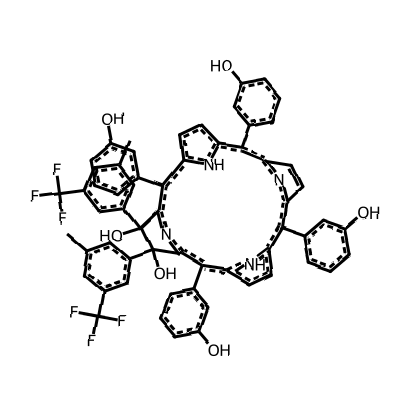 Cc1cc(C(F)(F)F)cc(C2(O)c3nc(c(-c4cccc(O)c4)c4ccc([nH]4)c(-c4cccc(O)c4)c4nc(c(-c5cccc(O)c5)c5ccc([nH]5)c3-c3cccc(O)c3)C=C4)C2(O)c2cc(C)cc(C(F)(F)F)c2)c1